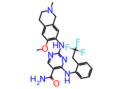 COc1cc2c(cc1Nc1ncc(C(N)=O)c(Nc3ccccc3CC(F)(F)F)n1)CN(C)CC2